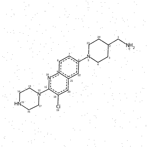 NCC1CCN(c2ccc3nc(N4CCNCC4)c(Cl)cc3c2)CC1